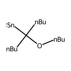 CCCCO[C]([Sn])(CCCC)CCCC